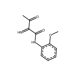 COc1ccccc1NC(=O)C(=N)C(C)=O